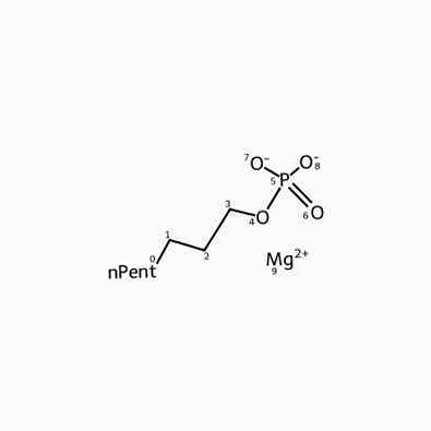 CCCCCCCCOP(=O)([O-])[O-].[Mg+2]